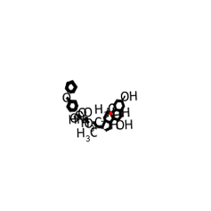 C[C@H](COC(=O)NS(=O)(=O)c1ccc(Oc2ccccc2)cc1)[C@H]1CC[C@H]2[C@@H]3[C@H](O)C[C@@H]4C[C@H](O)CC[C@]4(C)[C@H]3CC[C@]12C